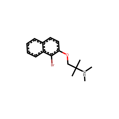 C[SiH](C)C(C)(C)COc1ccc2ccccc2c1Br